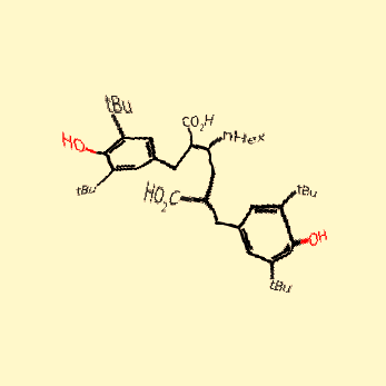 CCCCCCC(CC(Cc1cc(C(C)(C)C)c(O)c(C(C)(C)C)c1)C(=O)O)C(Cc1cc(C(C)(C)C)c(O)c(C(C)(C)C)c1)C(=O)O